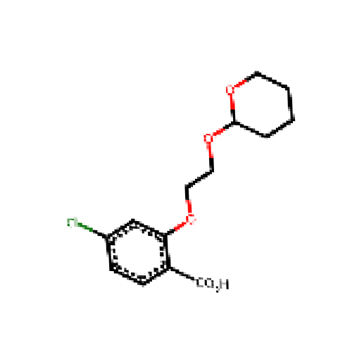 O=C(O)c1ccc(Cl)cc1OCCOC1CCCCO1